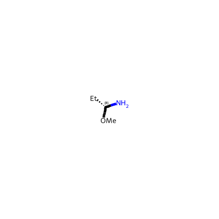 CC[C@H](N)OC